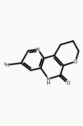 [2H]c1cnc2c3c(c(=O)[nH]c2c1)OCCC3